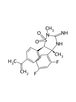 C=C(C)c1ccc([C@@H]2[C@@](C)(c3ccc(F)cc3F)NC(=N)N(C)S2(=O)=O)cc1